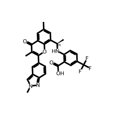 Cc1cc([C@@H](C)Nc2ccc(C(F)(F)F)cc2C(=O)O)c2oc(-c3ccc4nn(C)cc4c3)c(C)c(=O)c2c1